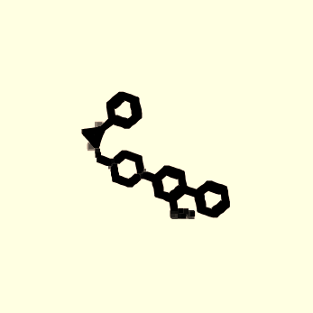 COc1cc(N2CCN(C[C@@H]3C[C@H]3c3ccccc3)CC2)ccc1-c1ccccc1